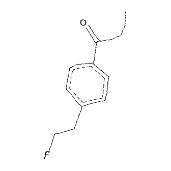 CCC(=O)c1ccc(CCF)cc1